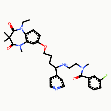 CCN1C(=O)C(C)(C)C(=O)N(C)c2cc(OCCCC(NCCN(C)C(=O)c3cccc(F)c3)c3ccncc3)ccc21